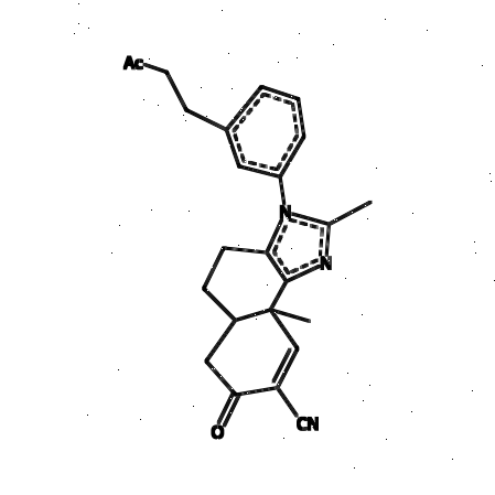 CC(=O)CCc1cccc(-n2c(C)nc3c2CCC2CC(=O)C(C#N)=CC32C)c1